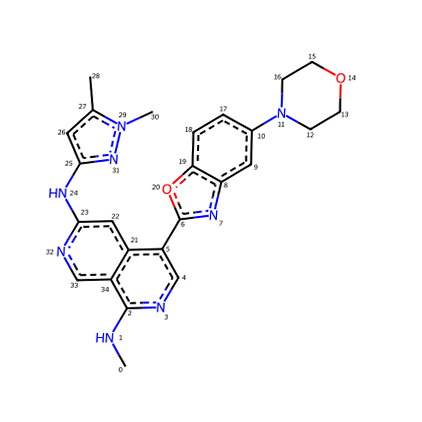 CNc1ncc(-c2nc3cc(N4CCOCC4)ccc3o2)c2cc(Nc3cc(C)n(C)n3)ncc12